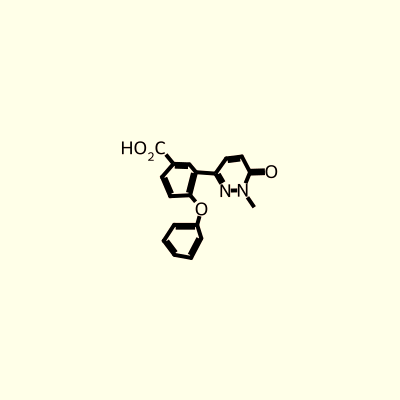 Cn1nc(-c2cc(C(=O)O)ccc2Oc2ccccc2)ccc1=O